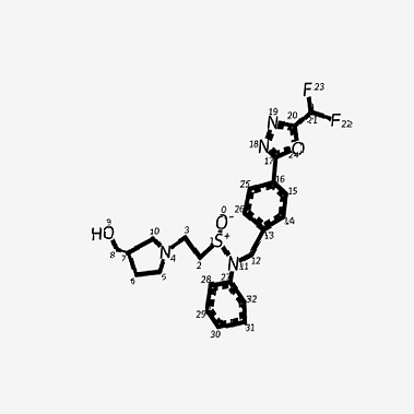 [O-][S+](CCN1CC[C@@H](CO)C1)N(Cc1ccc(-c2nnc(C(F)F)o2)cc1)c1ccccc1